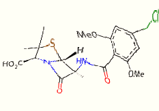 COc1cc(Cl)cc(OC)c1C(=O)N[C@@]1(C)C(=O)N2[C@@H](C(=O)O)C(C)(C)S[C@@H]21